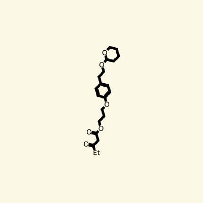 CCC(=O)CC(=O)OCCCOc1ccc(CCOC2CCCCO2)cc1